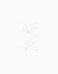 CC1(C)c2ccccc2-c2cc3c(-c4cccnc4)cc4cc5cc(-c6cccnc6)c6cc7c(cc6c5cc4c3cc21)C(C)(C)c1ccccc1-7